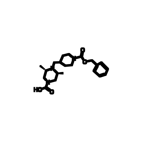 C[C@H]1CN(C(=O)O)C[C@H](C)N1CC1CCN(C(=O)OCc2ccccc2)CC1